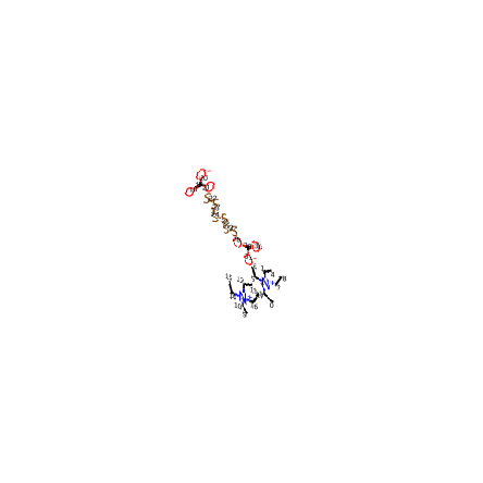 CC[N+](CC)(CC)CC.CC[N+](CC)(CC)CC.O=C([O-])OSSSSSSOC(=O)[O-]